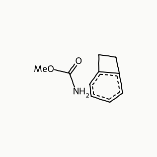 COC(N)=O.c1ccc2c(c1)CC2